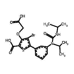 CC(C)NC(=O)N(c1cccc(-c2sc(C(=O)O)c(OCC(=O)O)c2Br)c1)C(C)C